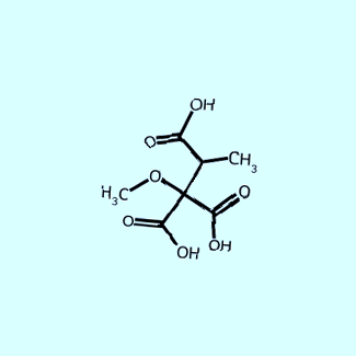 COC(C(=O)O)(C(=O)O)C(C)C(=O)O